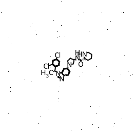 CC(c1ccc(Cl)cc1Cl)n1cnc2ccc(N3CCC(NC(=O)[C@H]4CCCCN4)C3)cc21